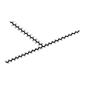 CCCCCCCCCCCCCCCCCCCCCC[C](CCCCCCCCCCCCCCCCCCCCCC)CCCCCCCCCCCCCCCCCCCCCC